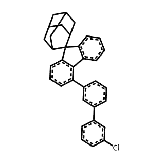 Clc1cccc(-c2cccc(-c3cccc4c3-c3ccccc3C43C4CC5CC(C4)CC3C5)c2)c1